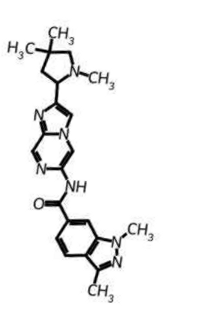 Cc1nn(C)c2cc(C(=O)Nc3cn4cc(C5CC(C)(C)CN5C)nc4cn3)ccc12